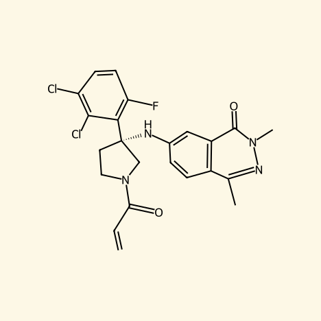 C=CC(=O)N1CC[C@@](Nc2ccc3c(C)nn(C)c(=O)c3c2)(c2c(F)ccc(Cl)c2Cl)C1